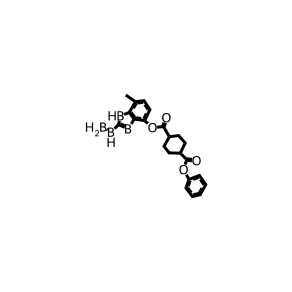 BBC1=Bc2c(OC(=O)C3CCC(C(=O)Oc4ccccc4)CC3)ccc(C)c2B1